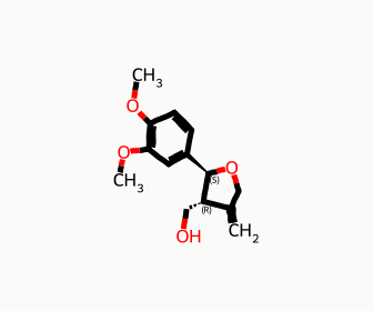 C=C1CO[C@H](c2ccc(OC)c(OC)c2)[C@H]1CO